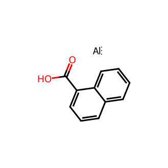 O=C(O)c1cccc2ccccc12.[Al]